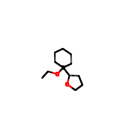 CCO[Si]1(C2CCCO2)CCCCC1